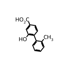 Cc1ccccc1-c1ccc(C(=O)O)cc1O